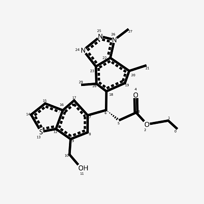 CCOC(=O)C[C@H](c1cc(CO)c2sccc2c1)c1cc(C)c2c(nnn2C)c1C